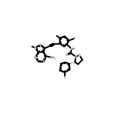 Cc1cc(F)c(NC(=O)N2OCC[C@@H]2c2cccc(F)c2)cc1C#Cc1nn(C)c2ncnc(N)c12